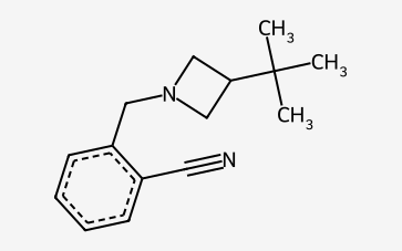 CC(C)(C)C1CN(Cc2ccccc2C#N)C1